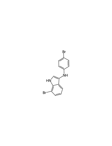 Brc1ccc(Nc2c[nH]c3c(Br)cccc23)cc1